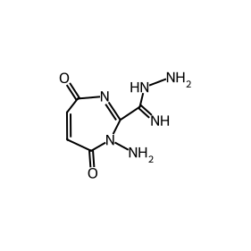 N=C(NN)c1nc(=O)ccc(=O)n1N